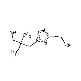 CC(C)(C)Cc1ncn(CC(C)(C)CS)n1